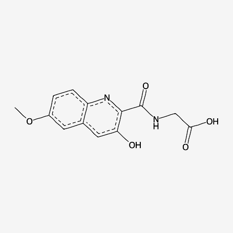 COc1ccc2nc(C(=O)NCC(=O)O)c(O)cc2c1